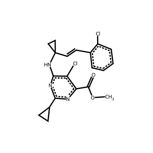 COC(=O)c1nc(C2CC2)nc(NC2(C=Cc3ccccc3Cl)CC2)c1Cl